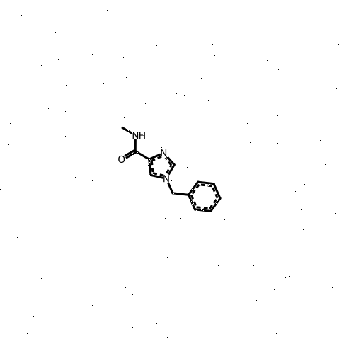 CNC(=O)c1cn(Cc2ccccc2)cn1